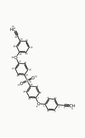 C#Cc1ccc(Oc2ccc(S(=O)(=O)c3ccc(Oc4cccc(C#C)c4)cc3)cc2)cc1